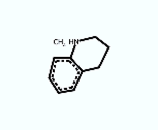 C.c1ccc2c(c1)CCCN2